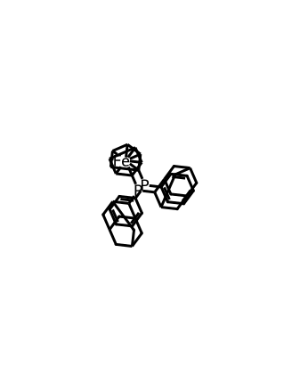 c1ccc(P(c2ccccc2)[C]23[CH]4[CH]5[CH]6[CH]2[Fe]56432789[CH]3[CH]2[CH]7[C]8(P(C2C4CC5CC(C4)CC2C5)C2C4CC5CC(C4)CC2C5)[CH]39)cc1